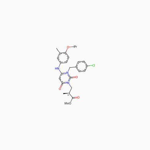 COC(=O)[C@@H](C)Cn1c(=O)cc(Nc2ccc(OC(C)C)c(C)c2)n(Cc2ccc(Cl)cc2)c1=O